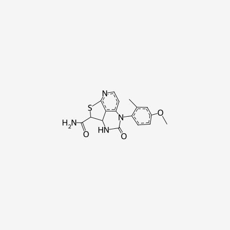 COc1ccc(N2C(=O)NC3c4c2ccnc4SC3C(N)=O)c(C)c1